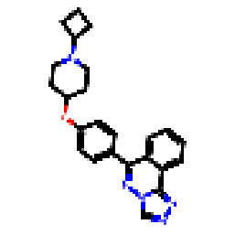 c1ccc2c(c1)c(-c1ccc(OC3CCN(C4CCC4)CC3)cc1)nn1cnnc21